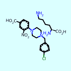 NCCCC[C@H](N)C(=O)O.O=C(O)c1ccc(N2CCN(Cc3ccc(Cl)cc3)CC2)c([N+](=O)[O-])c1